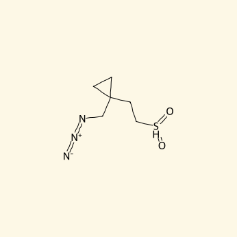 [N-]=[N+]=NCC1(CC[SH](=O)=O)CC1